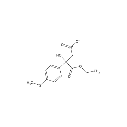 CCOC(=O)C(O)(C[N+](=O)[O-])c1ccc(SC)cc1